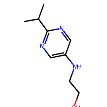 CC(C)c1ncc(NCCO)cn1